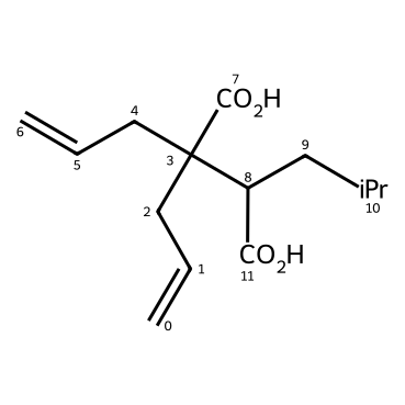 C=CCC(CC=C)(C(=O)O)C(CC(C)C)C(=O)O